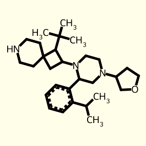 CC(C)c1ccccc1C1CN(C2CCOC2)CCN1C1CC2(CCNCC2)C1C(C)(C)C